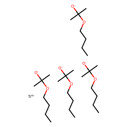 CCCCOC(C)(C)[O-].CCCCOC(C)(C)[O-].CCCCOC(C)(C)[O-].CCCCOC(C)(C)[O-].[Ti+4]